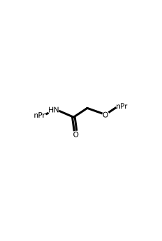 CCCNC(=O)COCCC